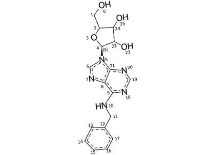 OCC1O[C@H](n2cnc3c(NCc4ccccc4)ncnc32)C(O)C1O